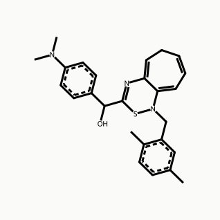 Cc1ccc(C)c(CN2SC(C(O)c3ccc(N(C)C)cc3)=NC3=CCC=CC=C32)c1